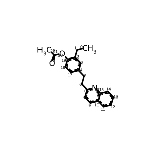 CCc1cc(CCc2ccc3ccccc3n2)ccc1OC(C)=O